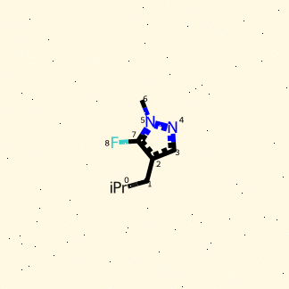 CC(C)Cc1cnn(C)c1F